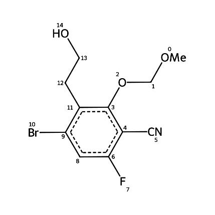 COCOc1c(C#N)c(F)cc(Br)c1CCO